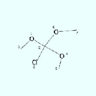 COC(Cl)(OC)OC